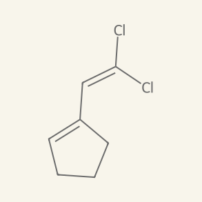 ClC(Cl)=CC1=CCCC1